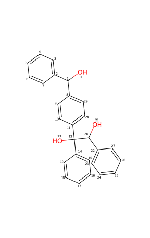 OC(c1ccccc1)c1ccc(C(O)(c2ccccc2)C(O)c2ccccc2)cc1